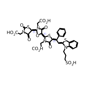 O=C(O)CN1C(=O)S/C(=c2/o/c(=c3/s/c(=C(/C=C4Sc5ccccc5N4CCCS(=O)(=O)O)c4ccccc4)c(=O)n3CC(=O)O)c(=O)n2CC(=O)O)C1=O